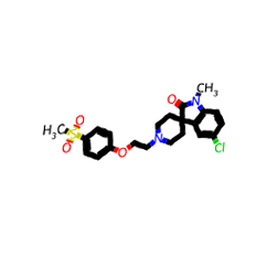 CN1C(=O)C2(CCN(CCOc3ccc(S(C)(=O)=O)cc3)CC2)c2cc(Cl)ccc21